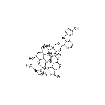 CC#C/C=C\C#C[C@H](OC1OC(C)C2(SC)COC(c3nccc4c3[nH]c3ccc(O)cc34)OC2C1OC1CC(OC)C(NC(C)C)CO1)C1=C(NC(=O)OC)C(=O)C[C@H](O)/C1=C/CS(C)=S